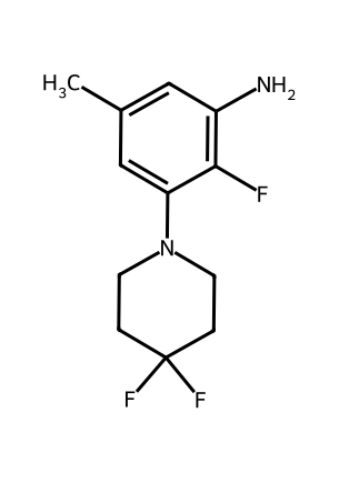 Cc1cc(N)c(F)c(N2CCC(F)(F)CC2)c1